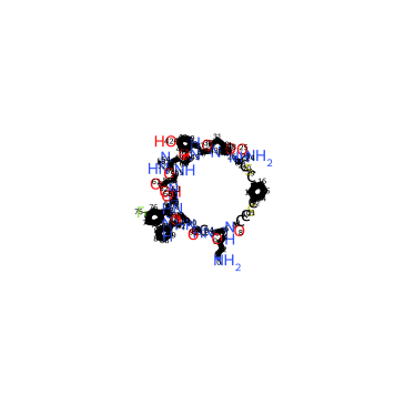 NCCCC[C@@H]1NC(=O)CCSCc2cccc(c2)CSC[C@@H](C(N)=O)NC(=O)[C@@H]2CCCN2C(=O)[C@H](Cc2ccc(O)cc2)NC(=O)[C@H](Cc2c[nH]cn2)NC(=O)[C@H](CC(=O)O)NC(=O)[C@H](Cc2c[nH]c3ccc(F)cc23)NC(=O)[C@H](CCc2ccccc2)NC(=O)CNC1=O